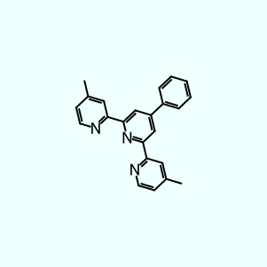 Cc1ccnc(-c2cc(-c3ccccc3)cc(-c3cc(C)ccn3)n2)c1